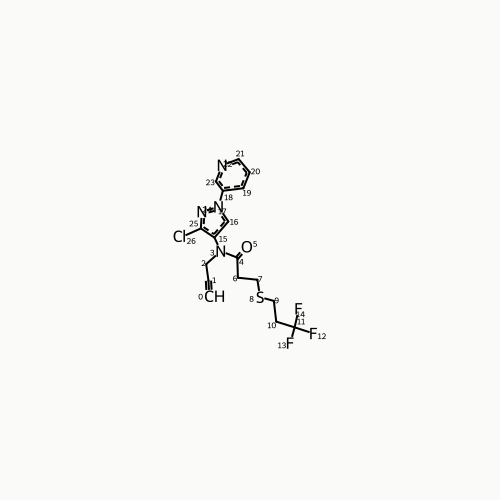 C#CCN(C(=O)CCSCCC(F)(F)F)c1cn(-c2cccnc2)nc1Cl